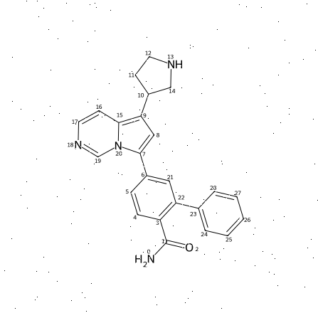 NC(=O)c1ccc(-c2cc(C3CCNC3)c3ccncn23)cc1-c1ccccc1